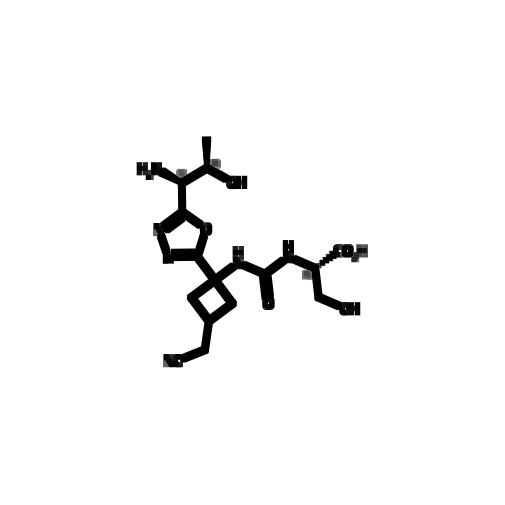 C[C@@H](O)[C@H](N)c1nnc(C2(NC(=O)N[C@@H](CO)C(=O)O)CC(CC#N)C2)o1